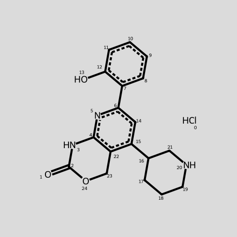 Cl.O=C1Nc2nc(-c3ccccc3O)cc(C3CCCNC3)c2CO1